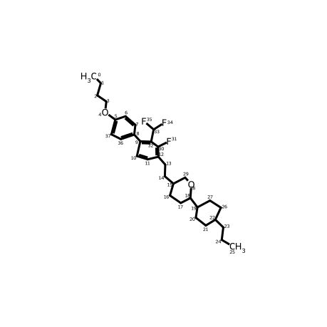 CCCCOc1ccc(-c2ccc(CCC3CCC(C4CCC(CCC)CC4)OC3)c(F)c2C(F)F)cc1